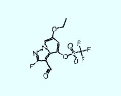 CCOc1cc(OS(=O)(=O)C(F)(F)F)c2c(C=O)c(F)nn2c1